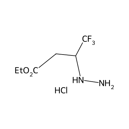 CCOC(=O)CC(NN)C(F)(F)F.Cl